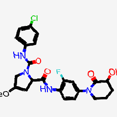 COC1CC(C(=O)Nc2ccc(N3CCCC(O)C3=O)cc2F)N(C(=O)Nc2ccc(Cl)cc2)C1